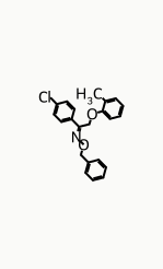 Cc1ccccc1OC/C(=N\OCc1ccccc1)c1ccc(Cl)cc1